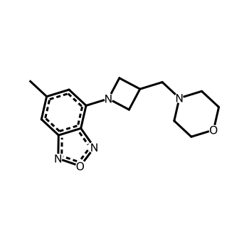 Cc1cc(N2CC(CN3CCOCC3)C2)c2nonc2c1